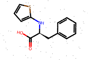 O=C(O)[C@H](Cc1ccccc1)Nc1cccs1